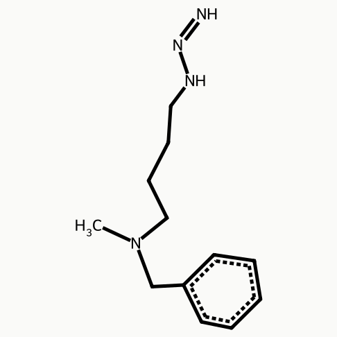 CN(CCCCNN=N)Cc1ccccc1